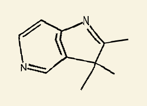 CC1=Nc2ccncc2C1(C)C